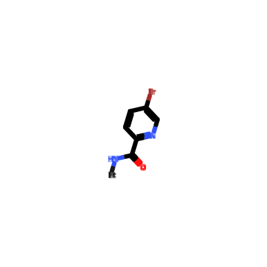 CCNC(=O)c1ccc(Br)cn1